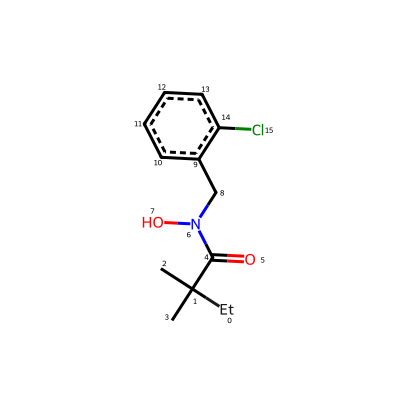 CCC(C)(C)C(=O)N(O)Cc1ccccc1Cl